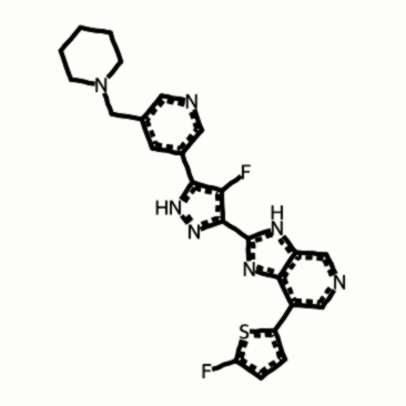 Fc1ccc(-c2cncc3[nH]c(-c4n[nH]c(-c5cncc(CN6CCCCC6)c5)c4F)nc23)s1